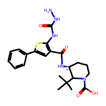 CC(C)(C)C1[C@@H](NC(=O)c2cc(-c3ccccc3)sc2NC(=O)NN)CCCN1C(=O)O